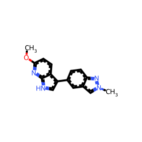 COc1ccc2c(-c3ccc4nn(C)cc4c3)c[nH]c2n1